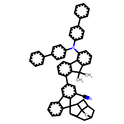 CC1(C)c2cccc(N(c3ccc(-c4ccccc4)cc3)c3ccc(-c4ccccc4)cc3)c2-c2cccc(-c3cc(C#N)c4c(c3)-c3ccccc3C43C4CC5CC6CC3C6(C5)C4)c21